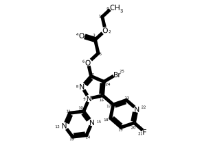 CCOC(=O)COc1nn(-c2cnccn2)c(-c2ccc(F)nc2)c1Br